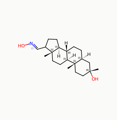 C[C@@]1(O)CC[C@@]2(C)[C@@H](CC[C@@H]3[C@@H]2CC[C@]2(C)C(/C=N/O)CC[C@@H]32)C1